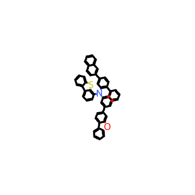 c1ccc(-c2ccc(-c3ccc4ccccc4c3)cc2N(c2cccc(-c3ccc4c(c3)oc3ccccc34)c2)c2cccc3c2sc2ccccc23)cc1